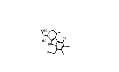 [2H]c1c(C)c(C)c(CC(C)C)c2[nH]c3c(c12)C(C)CO[C@@]3(CC=O)C(C)(C)C